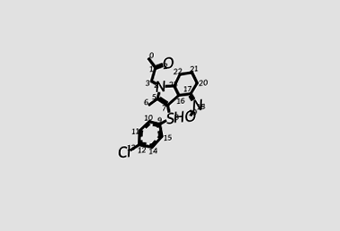 CC(=O)CN1C(C)=C(Sc2ccc(Cl)cc2)C2/C(=N\O)CCCC21